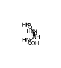 Oc1cccc2[nH]cc(CCNc3ccnc(NCc4ccc5[nH]ccc5c4)n3)c12